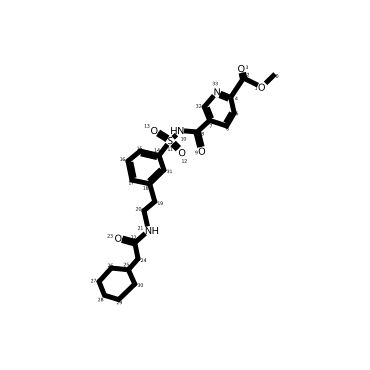 COC(=O)c1ccc(C(=O)NS(=O)(=O)c2cccc(CCNC(=O)CC3CCCCC3)c2)cn1